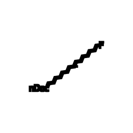 CCCCCCCCCCCCCCCCC[CH]CCCCCCCF